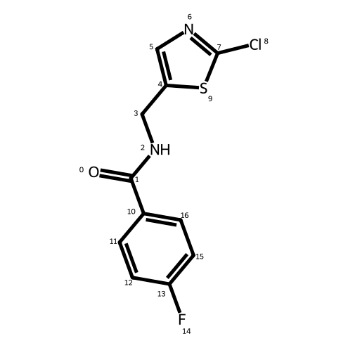 O=C(NCc1cnc(Cl)s1)c1ccc(F)cc1